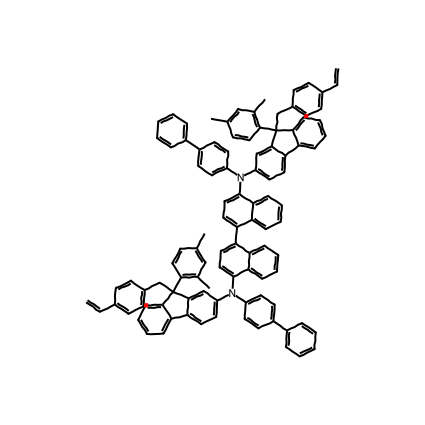 C=Cc1ccc(CC2(c3ccc(C)cc3C)c3ccccc3-c3ccc(N(c4ccc(-c5ccccc5)cc4)c4ccc(-c5ccc(N(c6ccc(-c7ccccc7)cc6)c6ccc7c(c6)C(Cc6ccc(C=C)cc6)(c6ccc(C)cc6C)c6ccccc6-7)c6ccccc56)c5ccccc45)cc32)cc1